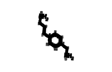 NCC=Cc1ccc(CN)cc1